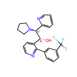 O[C@H](c1cccnc1-c1cccc(C(F)(F)F)c1)[C@H](c1ccccn1)N1CCCC1